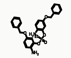 CCP(=O)(Oc1cc(OCc2ccccc2)ccc1N)Oc1cc(OCc2ccccc2)ccc1N